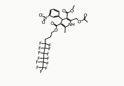 COC(=O)C1=C(COC(C)=O)NC(C)=C(C(=O)OCCCC(F)(F)C(F)(F)C(F)(F)C(F)(F)C(F)(F)C(F)(F)F)C1c1cccc([N+](=O)[O-])c1